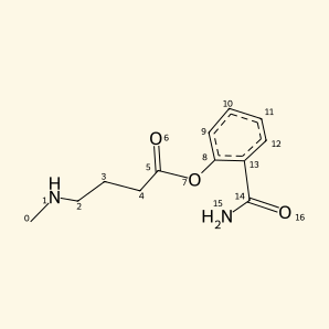 CNCCCC(=O)Oc1ccccc1C(N)=O